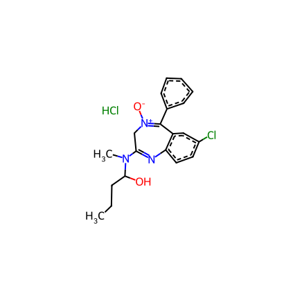 CCCC(O)N(C)C1=Nc2ccc(Cl)cc2C(c2ccccc2)=[N+]([O-])C1.Cl